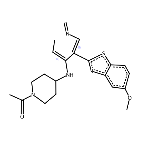 C=N/C=C(\C(=C/C)NC1CCN(C(C)=O)CC1)c1nc2cc(OC)ccc2s1